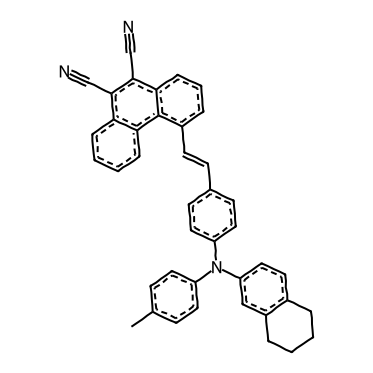 Cc1ccc(N(c2ccc(C=Cc3cccc4c(C#N)c(C#N)c5ccccc5c34)cc2)c2ccc3c(c2)CCCC3)cc1